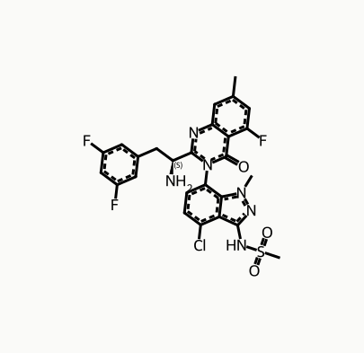 Cc1cc(F)c2c(=O)n(-c3ccc(Cl)c4c(NS(C)(=O)=O)nn(C)c34)c([C@@H](N)Cc3cc(F)cc(F)c3)nc2c1